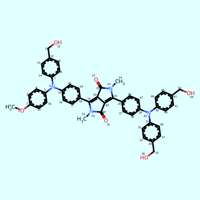 COc1ccc(N(c2ccc(CO)cc2)c2ccc(C3=C4C(=O)N(C)C(c5ccc(N(c6ccc(CO)cc6)c6ccc(CO)cc6)cc5)=C4C(=O)N3C)cc2)cc1